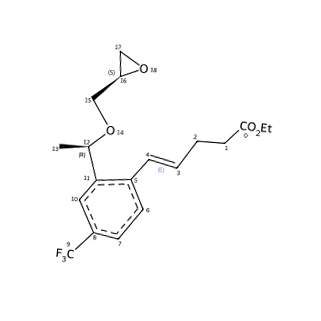 CCOC(=O)CC/C=C/c1ccc(C(F)(F)F)cc1[C@@H](C)OC[C@H]1CO1